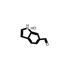 Cl.O=Cc1ccc2cc[nH]c2c1